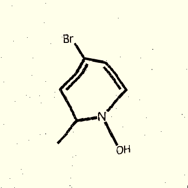 CC1C=C(Br)C=CN1O